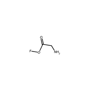 NCC(=O)OF